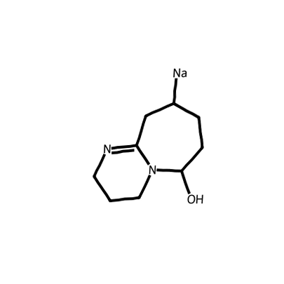 OC1CC[CH]([Na])CC2=NCCCN21